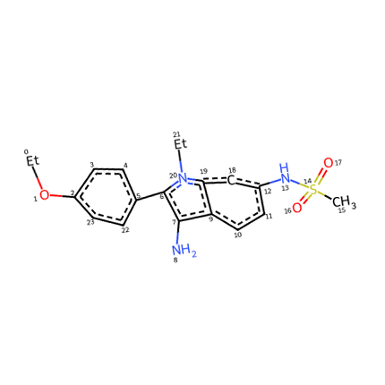 CCOc1ccc(-c2c(N)c3ccc(NS(C)(=O)=O)cc3n2CC)cc1